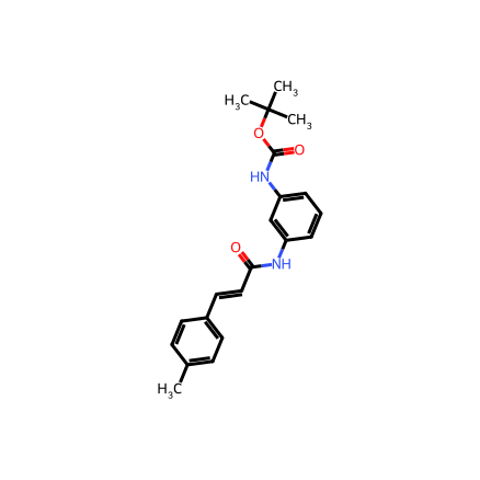 Cc1ccc(/C=C/C(=O)Nc2cccc(NC(=O)OC(C)(C)C)c2)cc1